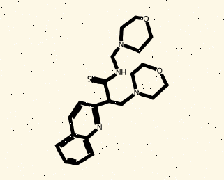 S=C(NCN1CCOCC1)C(CN1CCOCC1)c1ccc2ccccc2n1